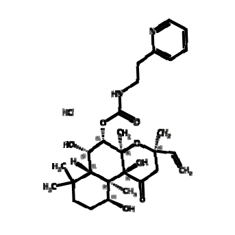 C=C[C@@]1(C)CC(=O)[C@]2(O)[C@@]3(C)[C@@H](O)CCC(C)(C)[C@@H]3[C@H](O)[C@H](OC(=O)NCCc3ccccn3)[C@@]2(C)O1.Cl